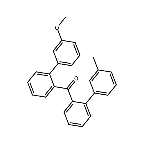 COc1cccc(-c2ccccc2C(=O)c2ccccc2-c2cccc(C)c2)c1